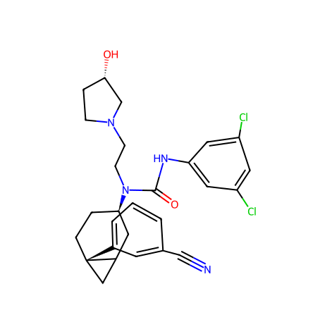 N#Cc1cccc([C@@]23CC[C@@H](N(CCN4CC[C@H](O)C4)C(=O)Nc4cc(Cl)cc(Cl)c4)CC2C3)c1